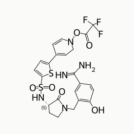 N=C(N)c1ccc(O)c(CN2CC[C@H](NS(=O)(=O)c3ccc(C4=CCN(OC(=O)C(F)(F)F)C=C4)s3)C2=O)c1